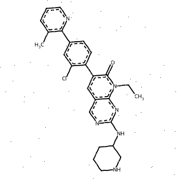 CCn1c(=O)c(-c2ccc(-c3ncccc3C)cc2Cl)cc2cnc(NC3CCCNC3)nc21